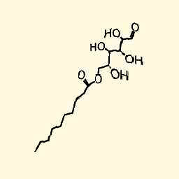 CCCCCCCCCC(=O)OC[C@@H](O)[C@@H](O)[C@H](O)[C@@H](O)C=O